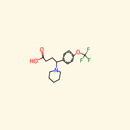 O=C(O)CCC(c1ccc(OC(F)(F)F)cc1)N1CCCCC1